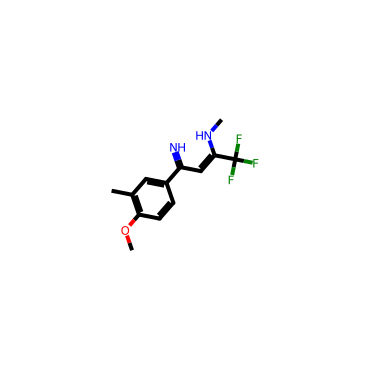 CN/C(=C\C(=N)c1ccc(OC)c(C)c1)C(F)(F)F